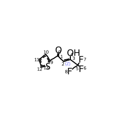 O=C(/C=C(\O)C(F)(F)F)c1cccs1